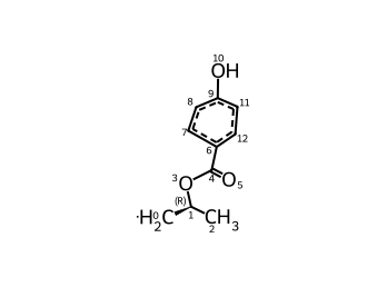 [CH2][C@H](C)OC(=O)c1ccc(O)cc1